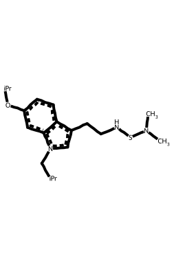 CC(C)Cn1cc(CCNSN(C)C)c2ccc(OC(C)C)cc21